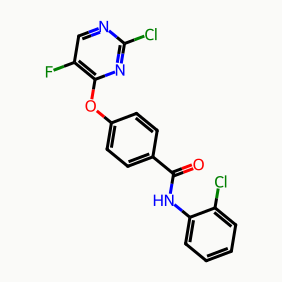 O=C(Nc1ccccc1Cl)c1ccc(Oc2nc(Cl)ncc2F)cc1